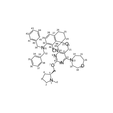 CN1CCC[C@H]1COc1nc2c(c(N3CCCOCC3)n1)COC1(CCCc3ccc(N(Cc4ccccc4)Cc4ccccc4)c(C#N)c31)C2